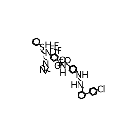 CC1(C)CN(CC[C@H](CSc2ccccc2)Nc2ccc(S(=O)(=O)NC(=O)c3ccc(NCCNCc4ccccc4-c4ccc(Cl)cc4)cc3)cc2C(F)(F)F)C=N1